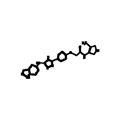 CC1=C(NC(=O)COc2ccc(-c3nnc(Nc4ccc5[nH]ncc5c4)[nH]3)cc2)CNC1